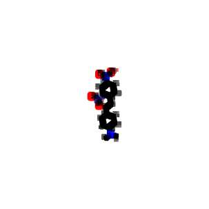 CN(C)c1ccc(C=Cc2ccc([N+](=O)[O-])cc2[N+](=O)[O-])cc1